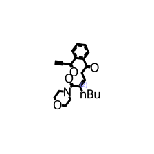 C#CC(=O)c1ccccc1C(=O)C/C=C(/CCCC)C(=O)N1CCOCC1